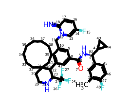 Cc1cc([C@@H](NC(=O)c2cc(Cn3cc(F)ccc3=N)cc(C3C(C(F)(F)F)NCCC34CCCCCCCCC4)c2)C2CC2)ccc1F